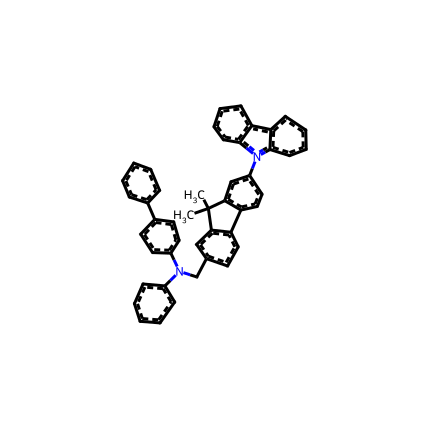 CC1(C)c2cc(CN(c3ccccc3)c3ccc(-c4ccccc4)cc3)ccc2-c2ccc(-n3c4ccccc4c4ccccc43)cc21